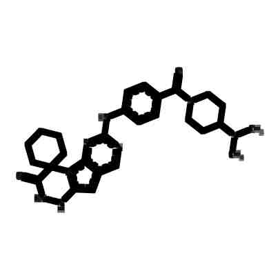 CN(C)C1CCN(C(=O)c2ccc(Nc3ncc4cc5n(c4n3)C3(CCCCC3)C(=O)NN5)cc2)CC1